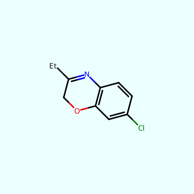 CCC1=Nc2ccc(Cl)cc2OC1